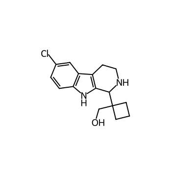 OCC1(C2NCCc3c2[nH]c2ccc(Cl)cc32)CCC1